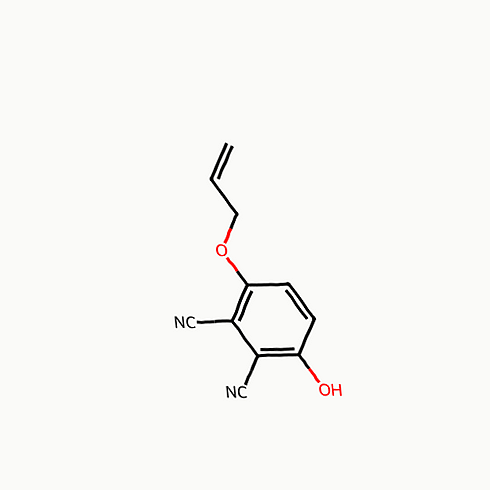 C=CCOc1ccc(O)c(C#N)c1C#N